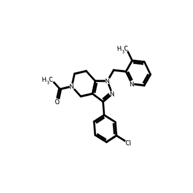 CC(=O)N1CCc2c(c(-c3cccc(Cl)c3)nn2Cc2ncccc2C)C1